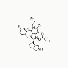 CC(C)CCn1c(=O)c2c(n(C)c1=O)N(OC(=O)C(F)(F)F)C(N1CCC3CNCC31)N2Cc1ccc(F)cc1